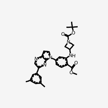 COC(=O)c1ccc(-n2ccc3ncc(-c4cc(C)cc(C)c4)nc32)cc1NC1CN(C(=O)OC(C)(C)C)C1